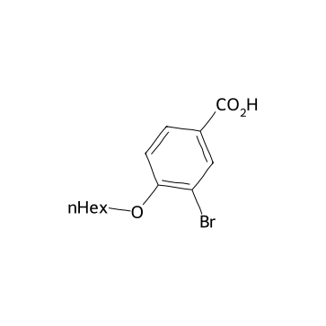 CCCCCCOc1ccc(C(=O)O)cc1Br